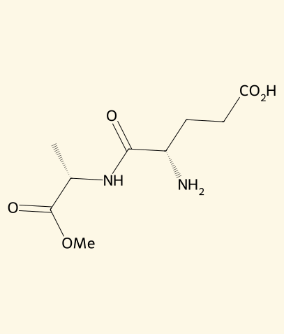 COC(=O)[C@H](C)NC(=O)[C@@H](N)CCC(=O)O